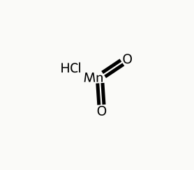 Cl.[O]=[Mn]=[O]